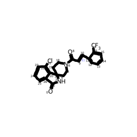 O=C1NC2(CCN(C(=O)/C=C/c3ccccc3C(F)(F)F)CC2)c2c(Cl)cccc21